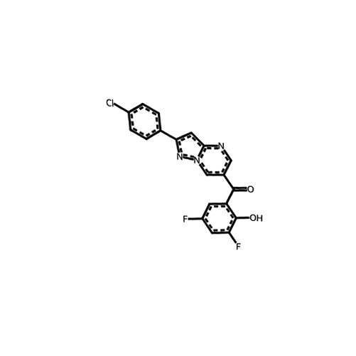 O=C(c1cnc2cc(-c3ccc(Cl)cc3)nn2c1)c1cc(F)cc(F)c1O